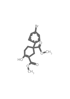 COC(=O)C1=C(O)CCC(C(=O)OC)(c2ccc(Br)cc2)C1